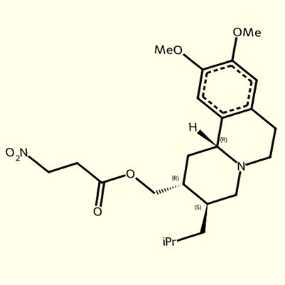 COc1cc2c(cc1OC)[C@H]1C[C@@H](COC(=O)CC[N+](=O)[O-])[C@H](CC(C)C)CN1CC2